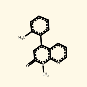 Cc1ccccc1-c1cc(=O)n(C)c2ncccc12